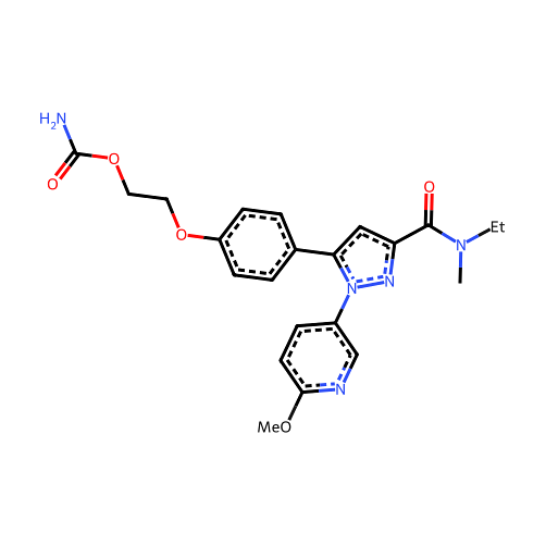 CCN(C)C(=O)c1cc(-c2ccc(OCCOC(N)=O)cc2)n(-c2ccc(OC)nc2)n1